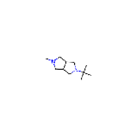 CN1CC2CN(C(C)(C)C)CC2C1